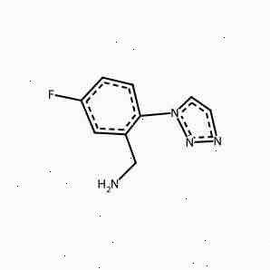 NCc1cc(F)ccc1-n1ccnn1